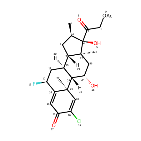 CC(=O)OCC(=O)[C@@]1(O)[C@H](C)C[C@H]2[C@@H]3C[C@H](F)C4=CC(=O)C(Cl)=C[C@]4(C)[C@H]3[C@@H](O)C[C@@]21C